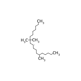 CCCCCCCC(C)(C)C[CH]CCCC(C)CCCCC